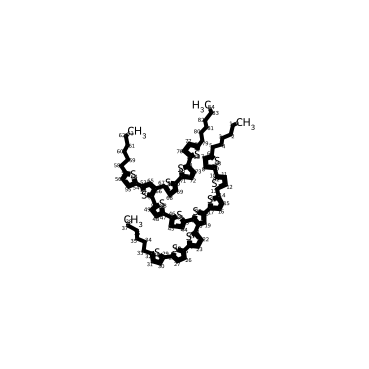 CCCCCCc1ccc(-c2ccc(-c3ccc(-c4cc(-c5ccc(-c6ccc(-c7ccc(CCCCCC)s7)s6)s5)c(-c5ccc(-c6ccc(-c7sc(-c8ccc(CCCCCC)s8)cc7-c7ccc(-c8ccc(-c9ccc(CCCCCC)s9)s8)s7)s6)s5)s4)s3)s2)s1